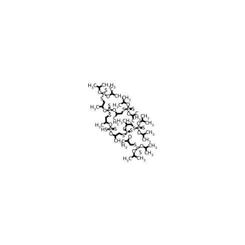 CC(C)OP(=S)(OC(C)C)SCC(C)OP(=S)(OC(C)CSP(=S)(OC(C)C)OC(C)C)SCC(C)OP(=S)(S)OC(C)CSP(=S)(OC(C)CSP(=S)(OC(C)C)OC(C)C)OC(C)CSP(=S)(OC(C)C)OC(C)C